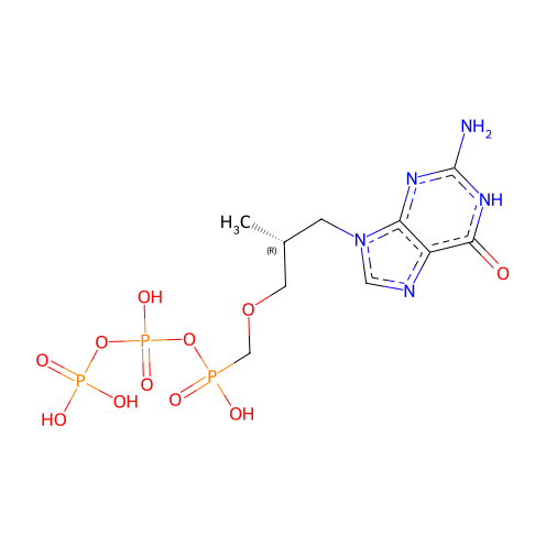 C[C@@H](COCP(=O)(O)OP(=O)(O)OP(=O)(O)O)Cn1cnc2c(=O)[nH]c(N)nc21